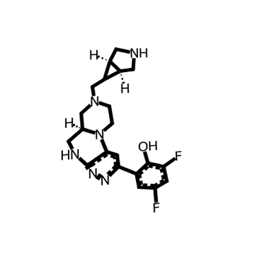 Oc1c(F)cc(F)cc1-c1cc2c(nn1)NC[C@H]1CN(CC3[C@H]4CNC[C@@H]34)CCN21